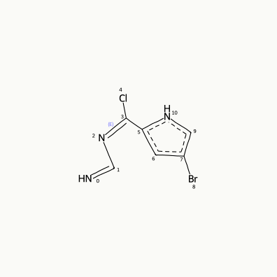 N=C/N=C(/Cl)c1cc(Br)c[nH]1